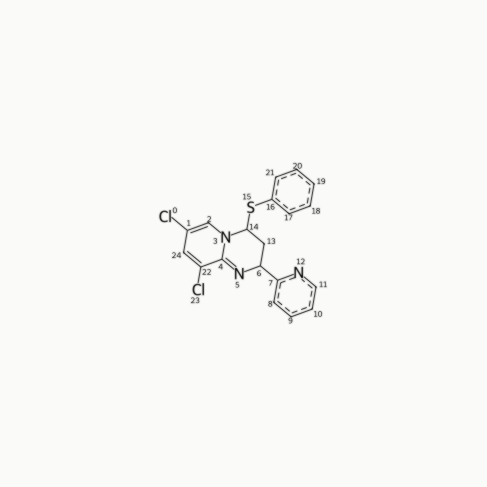 ClC1=CN2C(=NC(c3ccccn3)CC2Sc2ccccc2)C(Cl)=C1